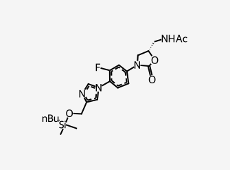 CCCC[Si](C)(C)OCc1cn(-c2ccc(N3C[C@H](CNC(C)=O)OC3=O)cc2F)cn1